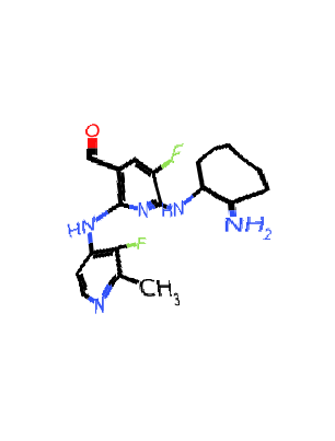 Cc1nccc(Nc2nc(NC3CCCCC3N)c(F)cc2C=O)c1F